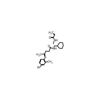 C=CC(=O)NC[C@@H](NC(=O)CC/C(C)=N/c1ccc(C(C)C)cc1C)C1CCCCC1